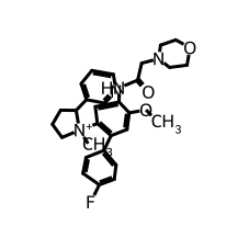 COc1cc(-c2ccc(F)cc2)c([N+]2(C)CCCC2c2cccnc2)cc1NC(=O)CN1CCOCC1